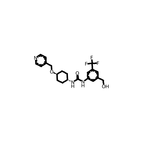 O=C(Nc1cc(CO)cc(C(F)(F)F)c1)N[C@H]1CC[C@H](OCc2ccncc2)CC1